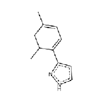 CC1=CC=C(c2cc[nH]n2)C(C)C1